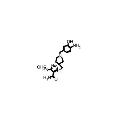 N#CCC1(n2cc(C(N)=O)c(NC=O)n2)CCN(Cc2ccc(N)c(O)c2)CC1